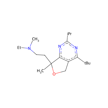 CCN(C)CCC1(C)OCc2c(C(C)(C)C)nc(C(C)C)nc21